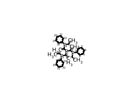 CCP(c1ccccc1)C(C)P(C(C)P(CC)c1ccccc1)C(C)P(CC)c1ccccc1